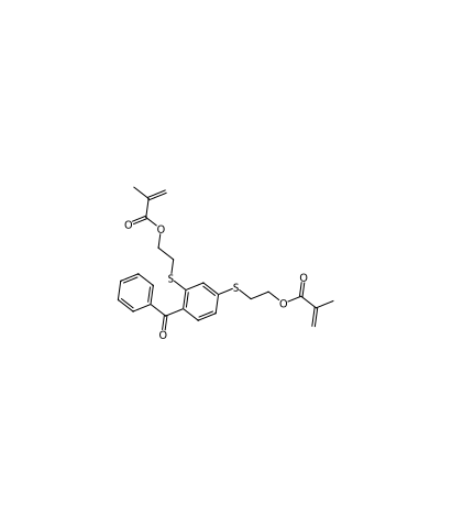 C=C(C)C(=O)OCCSc1ccc(C(=O)c2ccccc2)c(SCCOC(=O)C(=C)C)c1